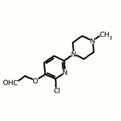 CN1CCN(c2ccc(OCC=O)c(Cl)n2)CC1